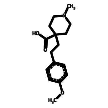 COc1ccc(CCC2(C(=O)O)CCN(C)CC2)cc1